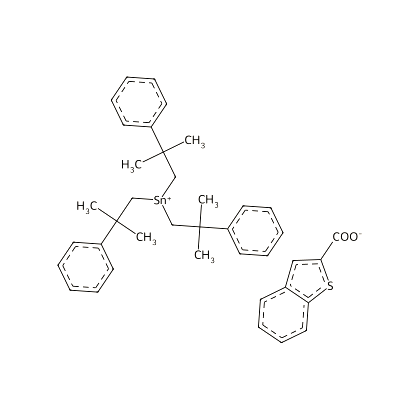 CC(C)([CH2][Sn+]([CH2]C(C)(C)c1ccccc1)[CH2]C(C)(C)c1ccccc1)c1ccccc1.O=C([O-])c1cc2ccccc2s1